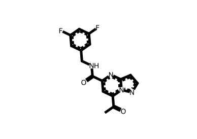 CC(=O)c1cc(C(=O)NCc2cc(F)cc(F)c2)nc2ccnn12